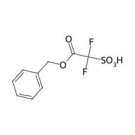 O=C(OCc1ccccc1)C(F)(F)S(=O)(=O)O